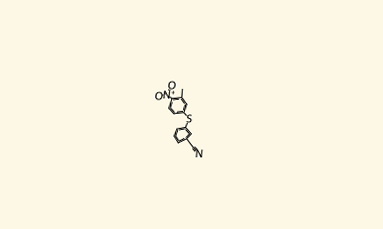 Cc1cc(Sc2cccc(C#N)c2)ccc1[N+](=O)[O-]